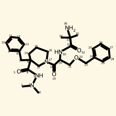 CN(C)NC(=O)C1(Cc2ccccc2)CCCN(C(=O)C(COCc2ccccc2)NC(=O)C(C)(C)N)C1